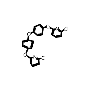 Clc1cccc(Oc2ccc(Oc3ccc(Oc4cccc(Cl)n4)cc3)cc2)n1